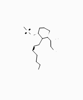 CS(=O)(=O)O[C@H]1CCC[C@@H]([C@H](O)CO)C1C/C=C\CCCC(=O)O